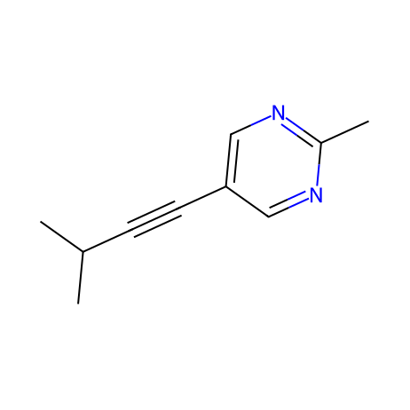 Cc1ncc(C#CC(C)C)cn1